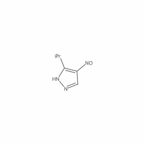 CC(C)c1[nH]ncc1N=O